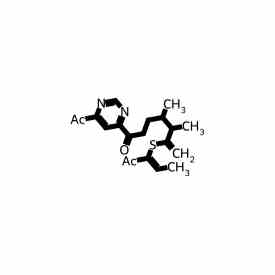 C=C(S/C(=C\C)C(C)=O)C(C)C(C)CCC(=O)c1cc(C(C)=O)ncn1